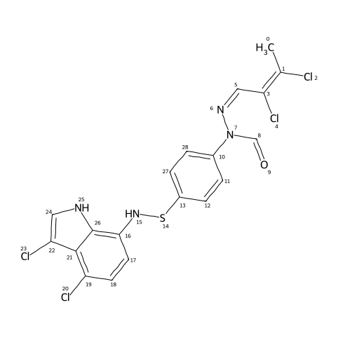 C/C(Cl)=C(Cl)\C=N/N(C=O)c1ccc(SNc2ccc(Cl)c3c(Cl)c[nH]c23)cc1